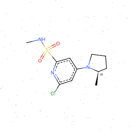 CNS(=O)(=O)c1cc(N2CCC[C@H]2C)cc(Cl)n1